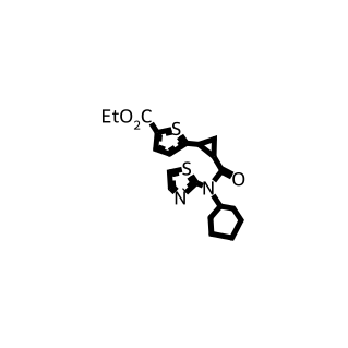 CCOC(=O)c1ccc(C2CC2C(=O)N(c2nccs2)C2CCCCC2)s1